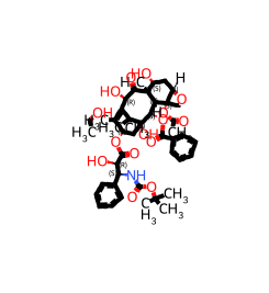 CC(=O)O[C@@]12CO[C@@H]1C[C@H](O)[C@@]1(C)C(=O)[C@H](O)C3=C(C)[C@@H](OC(=O)[C@H](O)[C@@H](NC(=O)OC(C)(C)C)c4ccccc4)C[C@@](O)([C@@H](OC(=O)c4ccccc4)[C@H]21)C3(C)C.CCO